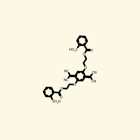 N#CC(C#N)=c1cc(OCCOC(=O)c2ccccc2S(=O)(=O)O)c(=C(C#N)C#N)cc1OCCOC(=O)c1ccccc1S(=O)(=O)O